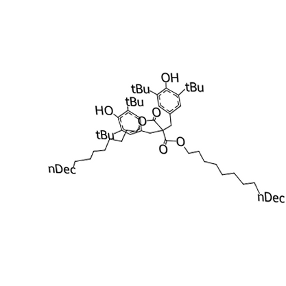 CCCCCCCCCCCCCCCCCCOC(=O)C(Cc1cc(C(C)(C)C)c(O)c(C(C)(C)C)c1)(Cc1cc(C(C)(C)C)c(O)c(C(C)(C)C)c1)C(=O)OCCCCCCCCCCCCCCCCCC